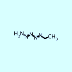 CCN=NN=NN